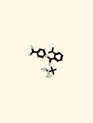 CC(C)(C)NN.CC(C)c1ccccc1C(=O)Cl.Cl.O=C(Cl)c1ccccc1